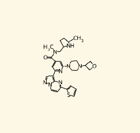 CC1CCC(CN(C)C(=O)c2cc(-c3cnn4ccc(-c5cccs5)nc34)nc(N3CCN(C4COC4)CC3)c2)N1